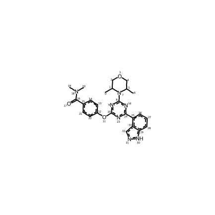 CC1COCC(C)N1c1nc(Oc2ccc(C(=O)N(C)C)cc2)nc(-c2cccc3[nH]ncc23)n1